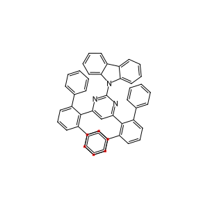 c1ccc(-c2cccc(-c3ccccc3)c2-c2cc(-c3c(-c4ccccc4)cccc3-c3ccccc3)nc(-n3c4ccccc4c4ccccc43)n2)cc1